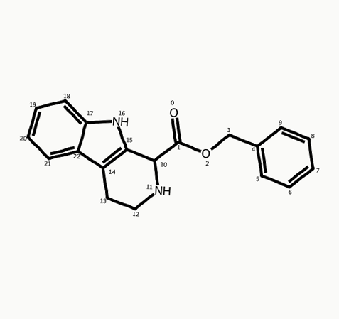 O=C(OCc1ccccc1)C1NCCc2c1[nH]c1ccccc21